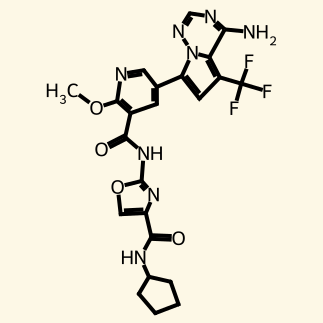 COc1ncc(-c2cc(C(F)(F)F)c3c(N)ncnn23)cc1C(=O)Nc1nc(C(=O)NC2CCCC2)co1